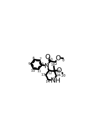 COCC(=O)N(c1ccccc1)C1CCNCC1(C)OC